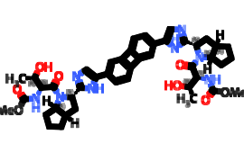 COC(=O)N[C@H](C(=O)N1[C@H](c2ncc(-c3ccc4c(c3)-c3ccc(-c5cnc([C@@H]6C[C@@H]7CCC[C@@H]7N6C(=O)[C@@H](NC(=O)OC)[C@@H](C)O)[nH]5)cc3-4)[nH]2)C[C@@H]2CCC[C@@H]21)[C@@H](C)O